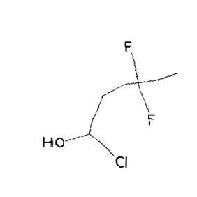 CC(F)(F)CC(O)Cl